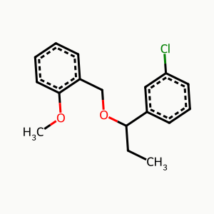 CCC(OCc1ccccc1OC)c1cccc(Cl)c1